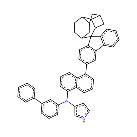 c1ccc(-c2cccc(N(c3cc[nH]c3)c3cccc4c(-c5ccc6c(c5)-c5ccccc5C65C6CCC7C(CC8CC5C87)C6)cccc34)c2)cc1